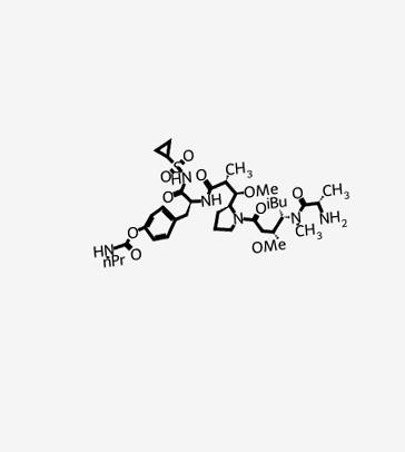 CCCNC(=O)Oc1ccc(C[C@H](NC(=O)[C@H](C)[C@@H](OC)[C@@H]2CCCN2C(=O)C[C@@H](OC)[C@H]([C@@H](C)CC)N(C)C(=O)[C@H](C)N)C(=O)NS(=O)(=O)C2CC2)cc1